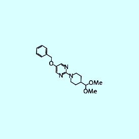 COC(OC)C1CCN(c2ncc(OCc3ccccc3)cn2)CC1